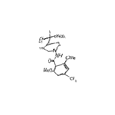 CCCCCCCCCC(C)(CC)C1NCN(NC(=O)c2c(OC)cc(C(F)(F)F)cc2OC)S1